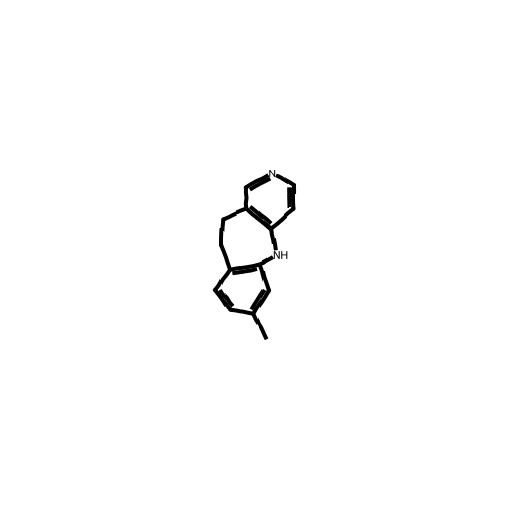 Cc1ccc2c(c1)Nc1ccncc1CC2